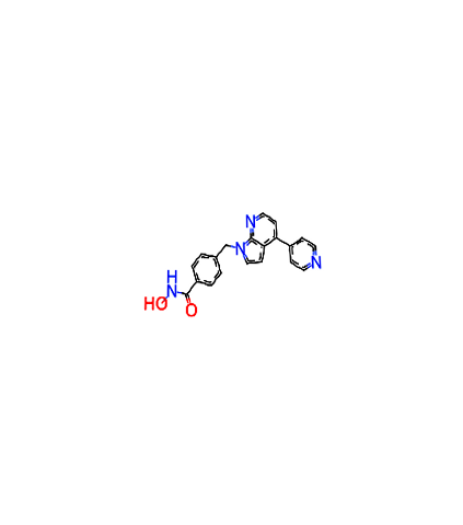 O=C(NO)c1ccc(Cn2ccc3c(-c4ccncc4)ccnc32)cc1